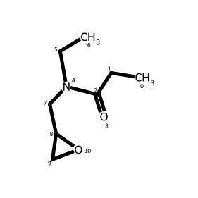 CCC(=O)N(CC)CC1CO1